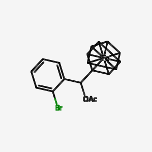 CC(=O)OC(c1ccccc1Br)[C]12[CH]3[CH]4[CH]5[CH]1[Fe]45321678[CH]2[CH]1[CH]6[CH]7[CH]28